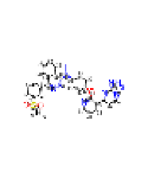 CS(=O)(=O)c1cccc(-c2nnc(Nc3ccc(Oc4ncccc4-c4ccnc(N)n4)cc3)c3ccccc23)c1